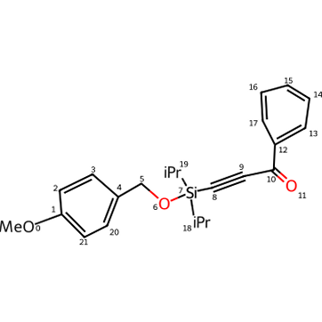 COc1ccc(CO[Si](C#CC(=O)c2ccccc2)(C(C)C)C(C)C)cc1